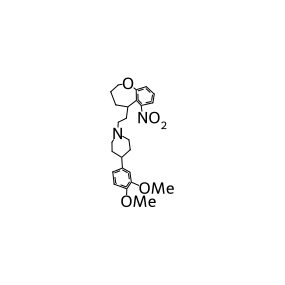 COc1ccc(C2CCN(CCC3CCCOc4cccc([N+](=O)[O-])c43)CC2)cc1OC